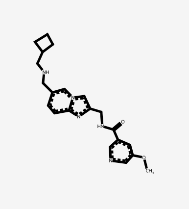 COc1cncc(C(=O)NCc2cn3cc(CNCC4CCC4)ccc3n2)c1